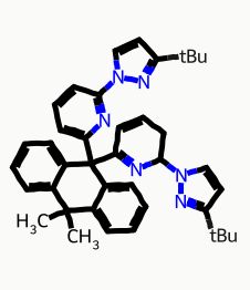 CC(C)(C)c1ccn(-c2cccc(C3(C4=NC(n5ccc(C(C)(C)C)n5)CC=C4)c4ccccc4C(C)(C)c4ccccc43)n2)n1